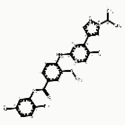 COc1cc(C(=O)Nc2cc(Cl)ccc2F)ccc1Nc1ncc(Cl)c(-c2cnn(C(C)C)c2)n1